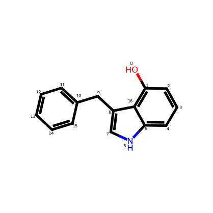 Oc1cccc2[nH]cc(Cc3ccccc3)c12